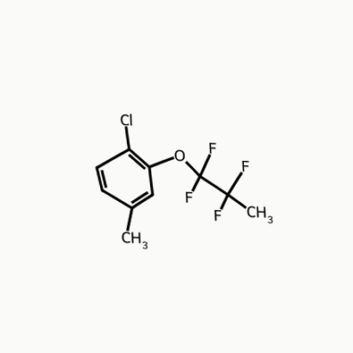 Cc1ccc(Cl)c(OC(F)(F)C(C)(F)F)c1